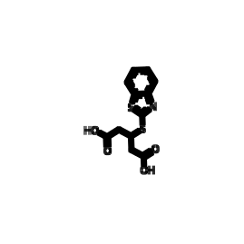 O=C(O)CC(CC(=O)O)Sc1nc2ccccc2s1